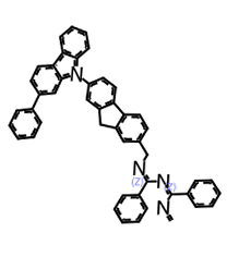 C=N/C(=N\C(=N/Cc1ccc2c(c1)Cc1cc(-n3c4ccccc4c4ccc(-c5ccccc5)cc43)ccc1-2)c1ccccc1)c1ccccc1